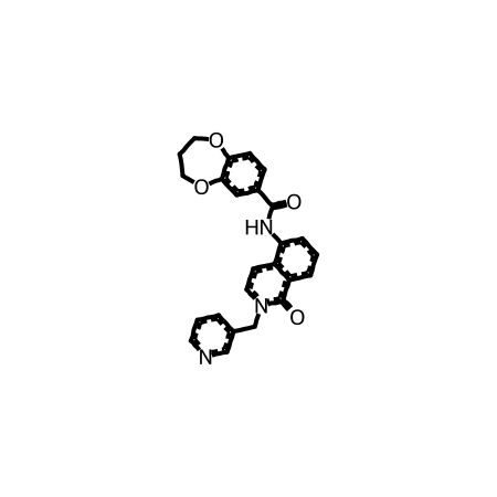 O=C(Nc1cccc2c(=O)n(Cc3cccnc3)ccc12)c1ccc2c(c1)OCCCO2